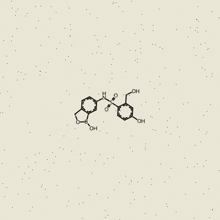 O=S(=O)(Nc1ccc2c(c1)B(O)OC2)c1ccc(O)cc1CO